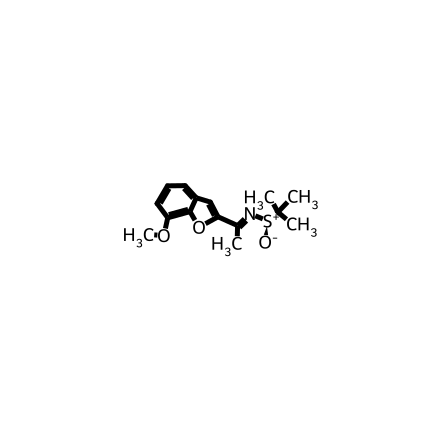 COc1cccc2cc(C(C)=N[S@+]([O-])C(C)(C)C)oc12